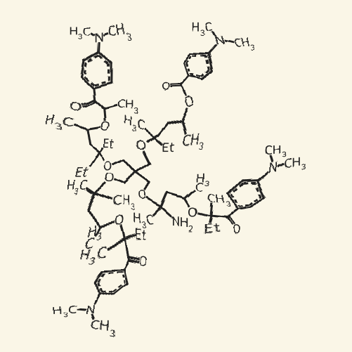 CCC(C)(CC(C)OC(=O)c1ccc(N(C)C)cc1)OCC(COC(C)(C)CC(C)OC(C)(CC)C(=O)c1ccc(N(C)C)cc1)(COC(C)(N)CC(C)OC(C)(CC)C(=O)c1ccc(N(C)C)cc1)COC(CC)(CC)CC(C)OC(C)C(=O)c1ccc(N(C)C)cc1